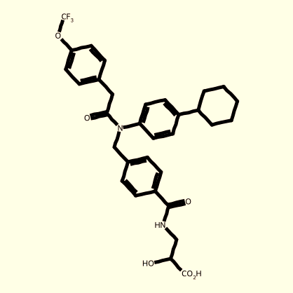 O=C(NCC(O)C(=O)O)c1ccc(CN(C(=O)Cc2ccc(OC(F)(F)F)cc2)c2ccc(C3CCCCC3)cc2)cc1